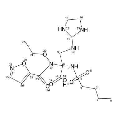 CCCCS(=O)(=O)NC(CNC1NCCN1)(C(=O)O)N(OCC)C(=O)c1ccno1